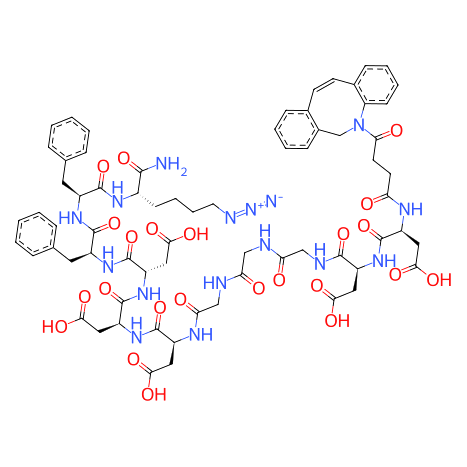 [N-]=[N+]=NCCCC[C@H](NC(=O)[C@H](Cc1ccccc1)NC(=O)[C@H](Cc1ccccc1)NC(=O)[C@H](CC(=O)O)NC(=O)[C@H](CC(=O)O)NC(=O)[C@H](CC(=O)O)NC(=O)CNC(=O)CNC(=O)CNC(=O)[C@H](CC(=O)O)NC(=O)[C@H](CC(=O)O)NC(=O)CCC(=O)N1Cc2ccccc2/C=C\c2ccccc21)C(N)=O